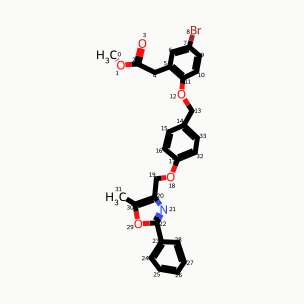 COC(=O)Cc1cc(Br)ccc1OCc1ccc(OCc2nc(-c3ccccc3)oc2C)cc1